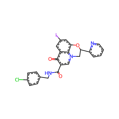 O=C(NCc1ccc(Cl)cc1)c1cn2c3c(cc(I)cc3c1=O)OC(c1ccccn1)C2